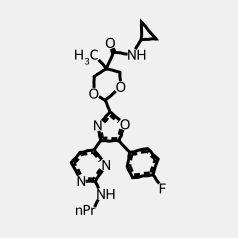 CCCNc1nccc(-c2nc(C3OCC(C)(C(=O)NC4CC4)CO3)oc2-c2ccc(F)cc2)n1